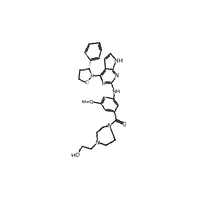 COc1cc(Nc2nc(N3OCC[C@@H]3c3ccccc3)c3cc[nH]c3n2)cc(C(=O)N2CCN(CCO)CC2)c1